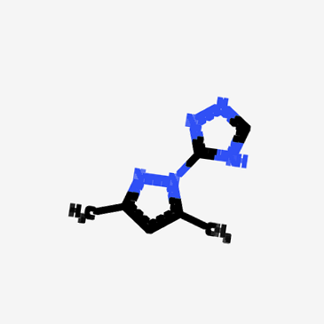 Cc1cc(C)n(-c2nnc[nH]2)n1